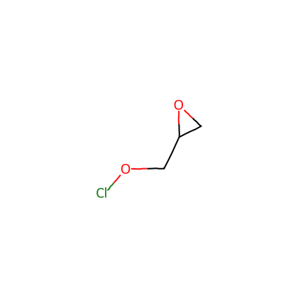 ClOCC1CO1